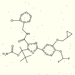 CC(C)(C)C(C)(OC(N)=O)c1oc(-c2ccc(OC(F)F)c(OCC3CC3)c2)nc1C(=O)NCc1ccccc1Cl